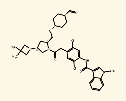 Cn1cc(C(=O)Nc2cc(Cl)c(CC(=O)N3C[C@@H](N4CC(C)(C)C4)C[C@H]3CO[C@H]3CC[C@H](C=O)CC3)cc2Cl)c2ccccc21